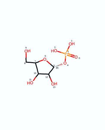 O=P(O)(O)O[C@H]1OC(CO)C(O)C1O